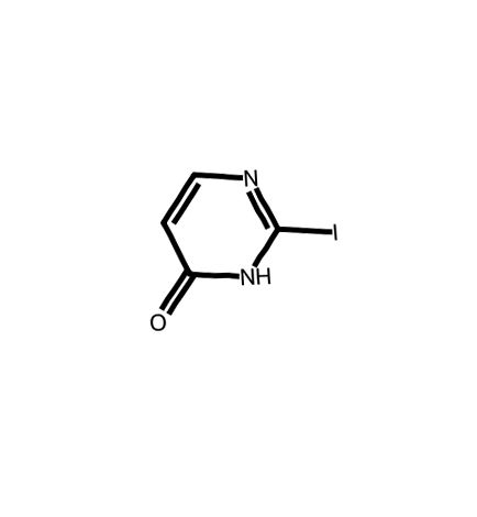 O=c1ccnc(I)[nH]1